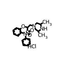 CC1CN(CC2Oc3ccccc3N(c3ccccc3)S2(=O)=O)CC(C)N1.Cl